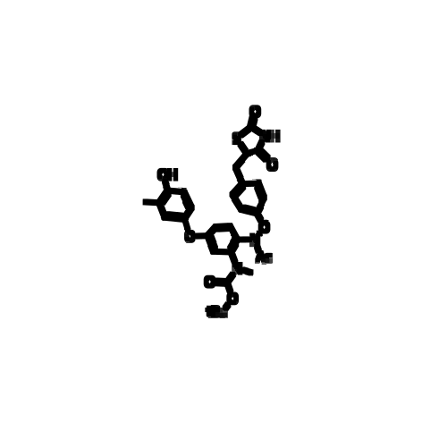 CC(=O)N(Oc1ccc(CC2SC(=O)NC2=O)cc1)c1ccc(Oc2ccc(O)c(C)c2)cc1N(C)C(=O)OC(C)(C)C